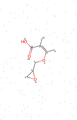 CC(OCC1CO1)=C(C)C(=O)O